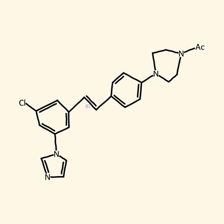 CC(=O)N1CCN(c2ccc(/C=C/c3cc(Cl)cc(-n4ccnc4)c3)cc2)CC1